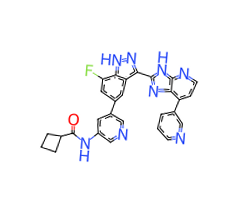 O=C(Nc1cncc(-c2cc(F)c3[nH]nc(-c4nc5c(-c6cccnc6)ccnc5[nH]4)c3c2)c1)C1CCC1